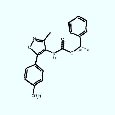 Cc1noc(-c2ccc(C(=O)O)cc2)c1NC(=O)O[C@@H](C)c1ccccc1